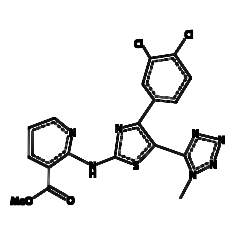 COC(=O)c1cccnc1Nc1nc(-c2ccc(Cl)c(Cl)c2)c(-c2nnnn2C)s1